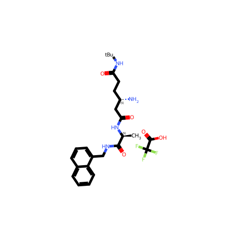 C[C@H](NC(=O)C[C@@H](N)CCC(=O)NC(C)(C)C)C(=O)NCc1cccc2ccccc12.O=C(O)C(F)(F)F